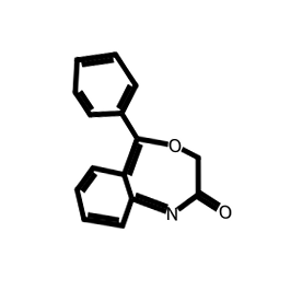 O=C1COC(c2ccccc2)=c2ccccc2=N1